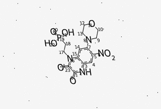 O=c1[nH]c2cc([N+](=O)[O-])c(N3CCOCC3)cc2n(CCP(=O)(O)O)c1=O